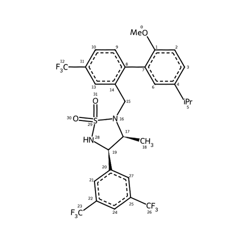 COc1ccc(C(C)C)cc1-c1ccc(C(F)(F)F)cc1CN1[C@@H](C)[C@@H](c2cc(C(F)(F)F)cc(C(F)(F)F)c2)NS1(=O)=O